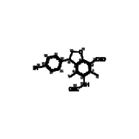 Cc1c(C=O)c2c(c(C)c1NC=O)C(c1ccc(C(C)C)cc1)CO2